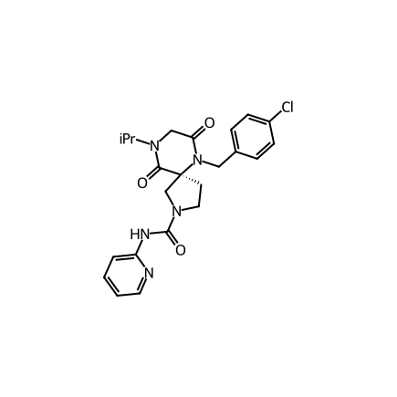 CC(C)N1CC(=O)N(Cc2ccc(Cl)cc2)[C@]2(CCN(C(=O)Nc3ccccn3)C2)C1=O